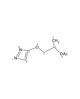 CC(=O)OC(C)COC1=CN=N1